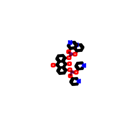 O=C1c2cccc(OP(Oc3cccnc3)Oc3cccnc3)c2C(=O)c2c(OP(Oc3cccnc3)Oc3cccnc3)cccc21